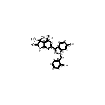 CC1(C)C(=O)Nc2nc(-c3nn(Cc4ccccc4F)c4cc(F)ccc34)nc(N)c21